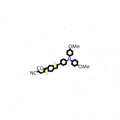 COc1ccc(N(c2ccc(OC)cc2)c2ccc(-c3cc4cc5sc(C=C(C#N)C(=O)O)cc5cc4s3)cc2)cc1